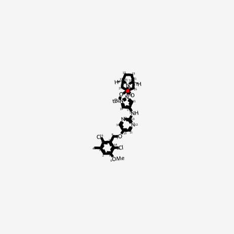 COc1cc(C)c(Cl)c(COc2cnc(Nc3cnn([C@@H]4C[C@H]5CC[C@@H](C4)N5C(=O)OC(C)(C)C)c3)nc2)c1Cl